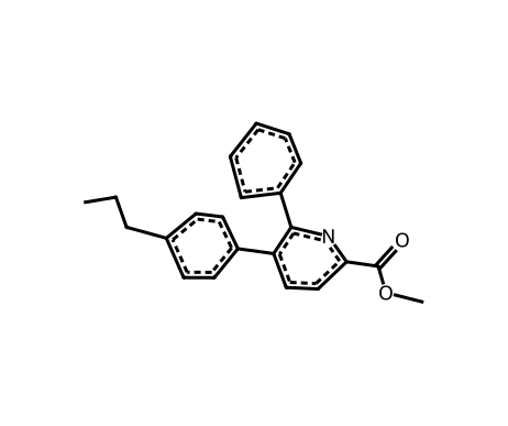 CCCc1ccc(-c2ccc(C(=O)OC)nc2-c2ccccc2)cc1